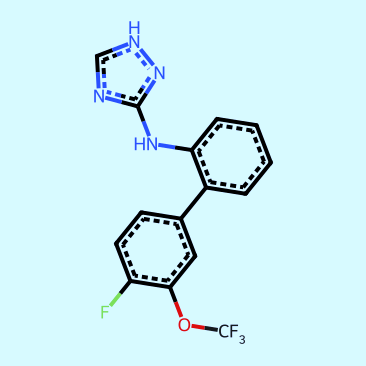 Fc1ccc(-c2ccccc2Nc2nc[nH]n2)cc1OC(F)(F)F